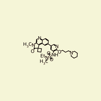 CCN(C)S(=O)(=O)Nc1cc(-c2ccc3ncc4c(c3c2)C2(CCC2)C(=O)N4C)cnc1OCCCN1CCCCC1